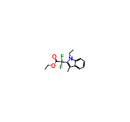 CCOC(=O)C(F)(F)c1c(C)c2ccccc2n1CC